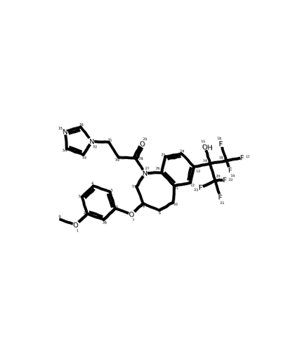 COc1cccc(OC2CCc3cc(C(O)(C(F)(F)F)C(F)(F)F)ccc3N(C(=O)CCn3ccnc3)C2)c1